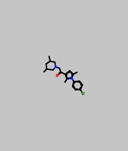 Cc1cc(C(=O)CN2CC(C)CC(C)C2)c(C)n1-c1ccc(Cl)cc1